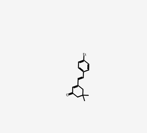 CCc1ccc(/C=C/C2=CC(=O)CC(C)(C)C2)cc1